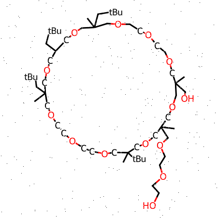 CC(C)(C)CC1COCC(C)(CC(C)(C)C)COCCOCCOCC(C)(CO)COCC(C)(COCCOCCO)COCC(C)(C(C)(C)C)COCCOCCOCC(C)(CC(C)(C)C)COC1